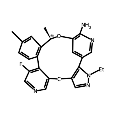 CCn1ncc2c1-c1cnc(N)c(c1)O[C@H](C)c1cc(C)ccc1-c1c(F)cncc1C2